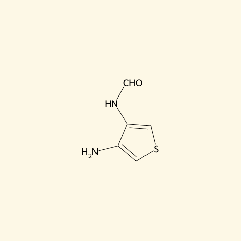 Nc1cscc1NC=O